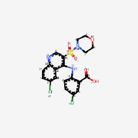 O=C(O)c1cc(Cl)ccc1Nc1c(S(=O)(=O)N2CCOCC2)cnc2ccc(Cl)cc12